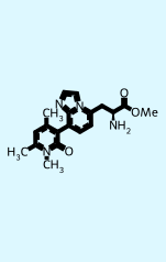 COC(=O)[C@@H](N)Cc1ccc(-c2c(C)cc(C)n(C)c2=O)c2nccn12